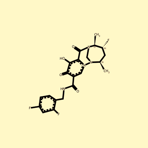 C[C@@H]1C[C@@H](F)[C@H](C)N2CN1n1cc(C(=O)NCc3ccc(F)cc3F)c(=O)c(O)c1C2=O